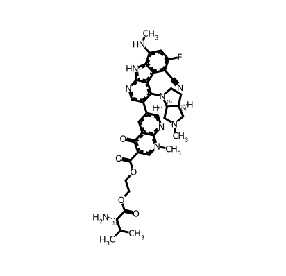 CNc1cc(F)c(C#N)c2c1[nH]c1ncc(-c3cnc4c(c3)c(=O)c(C(=O)OCCOC(=O)[C@@H](N)C(C)C)cn4C)c(N3CC[C@H]4CN(C)C[C@H]43)c12